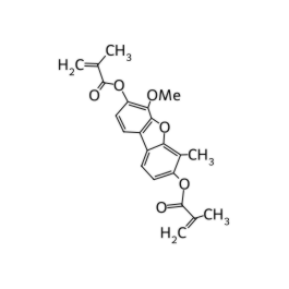 C=C(C)C(=O)Oc1ccc2c(oc3c(OC)c(OC(=O)C(=C)C)ccc32)c1C